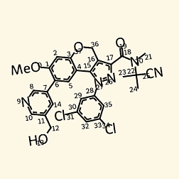 COc1cc2c(cc1-c1cncc(CO)c1)-c1c(c(C(=O)N(C)C(C)(C)C#N)nn1-c1cc(Cl)cc(Cl)c1)CO2